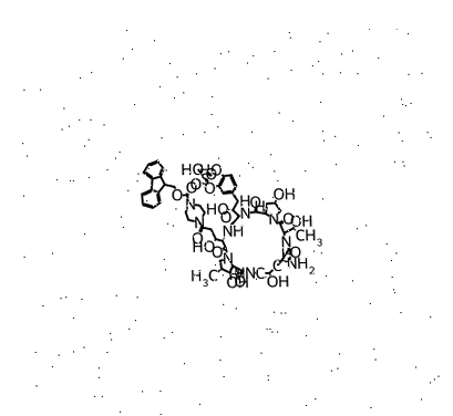 C[C@@H](O)C1NC(=O)[C@@H](N)C[C@@H](O)CNC(=O)[C@@H]2[C@@H](O)[C@@H](C)CN2C(=O)[C@H]([C@H](O)CC(=O)N2CCN(C(=O)OCC3c4ccccc4-c4ccccc43)CC2)NC(=O)[C@H]([C@H](O)Cc2ccc(O)c(OS(=O)(=O)O)c2)NC(=O)[C@@H]2C[C@@H](O)CN2C1=O